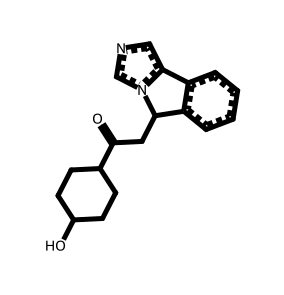 O=C(CC1c2ccccc2-c2cncn21)C1CCC(O)CC1